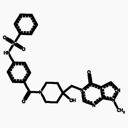 Cn1ncc2c(=O)n(CC3(O)CCN(C(=O)c4ccc(NS(=O)(=O)c5ccccc5)cc4)CC3)cnc21